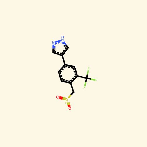 O=[SH](=O)Cc1ccc(-c2cn[nH]c2)cc1C(F)(F)F